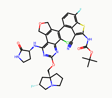 CC(C)(C)OC(=O)Nc1sc2c(F)ccc(-c3c4c(c5c(N[C@H]6CCNC6=O)nc(OC[C@@]67CCCN6C[C@H](F)C7)nc5c3Cl)COC4)c2c1C#N